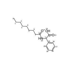 CCCCCCCCC(=O)NC(C(=O)O)c1ccccc1